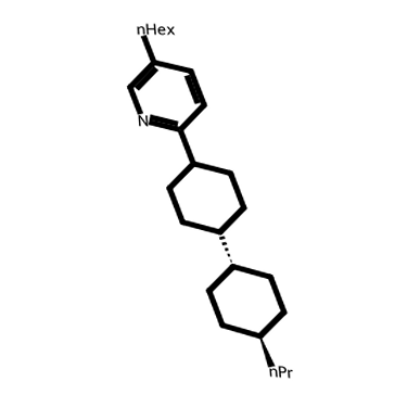 CCCCCCc1ccc(C2CCC([C@H]3CC[C@H](CCC)CC3)CC2)nc1